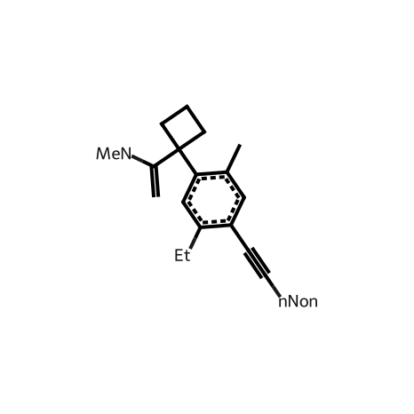 C=C(NC)C1(c2cc(CC)c(C#CCCCCCCCCC)cc2C)CCC1